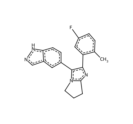 Cc1ccc(F)cc1-c1nc2n(c1-c1ccc3[nH]ncc3c1)CCC2